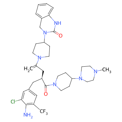 C=C(C[C@H](Cc1cc(Cl)c(N)c(C(F)(F)F)c1)C(=O)N1CCC(N2CCN(C)CC2)CC1)N1CCC(N2Cc3ccccc3NC2=O)CC1